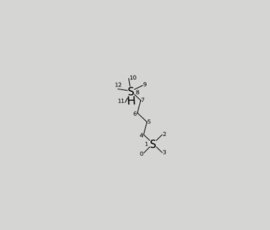 CS(C)(C)CCCC[SH](C)(C)(C)C